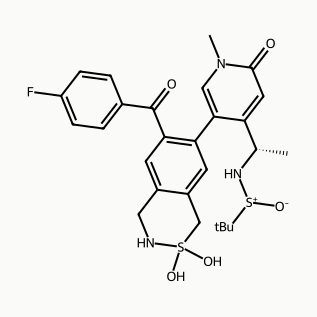 C[C@H](N[S+]([O-])C(C)(C)C)c1cc(=O)n(C)cc1-c1cc2c(cc1C(=O)c1ccc(F)cc1)CNS(O)(O)C2